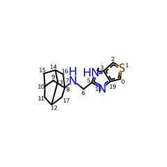 c1scc2[nH]c(CNC34CC5CC(CC(C5)C3)C4)nc12